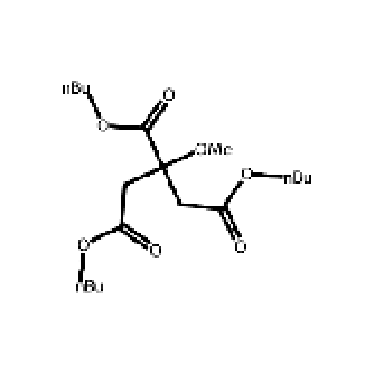 CCCCOC(=O)CC(CC(=O)OCCCC)(OC)C(=O)OCCCC